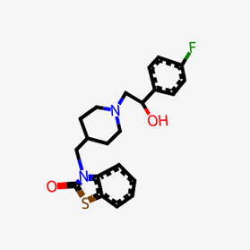 O=c1sc2ccccc2n1CC1CCN(CC(O)c2ccc(F)cc2)CC1